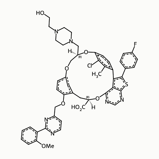 COc1ccccc1-c1nccc(COc2ccc3cc2C[C@H](C(=O)O)Oc2ncnc4sc(-c5ccc(F)cc5)c(c24)-c2ccc(c(Cl)c2C)O[C@H](CN2CCN(CCO)CC2)CO3)n1